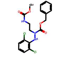 CC(C)(C)OC(=O)NCCN(Nc1c(Cl)cccc1Cl)C(=O)OCc1ccccc1